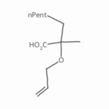 C=CCOC(C)(CCCCCC)C(=O)O